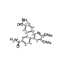 COc1cc(-c2ccc(C(N)=O)cc2)c(-c2ccc(C(N)=O)cc2)nc1OC